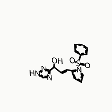 O=S(=O)(c1ccccc1)n1cccc1C=CC(O)c1nc[nH]n1